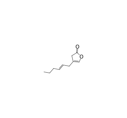 CCCC=CCC1=COC(=O)C1